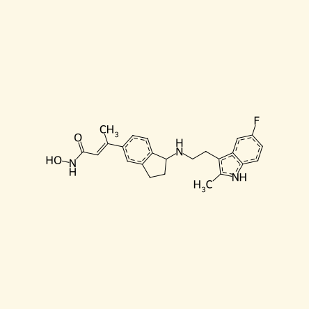 CC(=CC(=O)NO)c1ccc2c(c1)CCC2NCCc1c(C)[nH]c2ccc(F)cc12